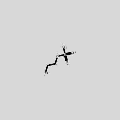 CC(C)(C)CCOS(=O)(=O)C(F)(F)F